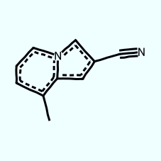 Cc1cccn2cc(C#N)cc12